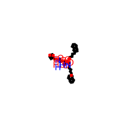 O=C(COC(C(=O)O)C(OCCCCCc1ccc2ccccc2c1)C(=O)NCCCCCc1ccc2ccccc2c1)NOCc1ccccc1